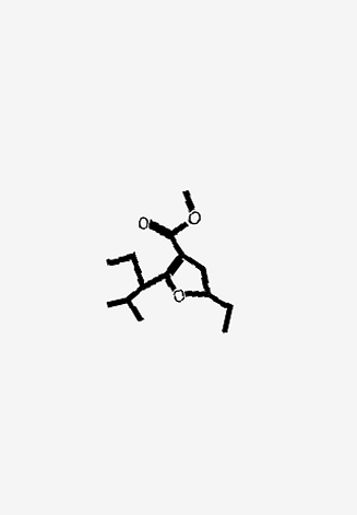 CCC1CC(C(=O)OC)=C(C(CC)C(C)C)O1